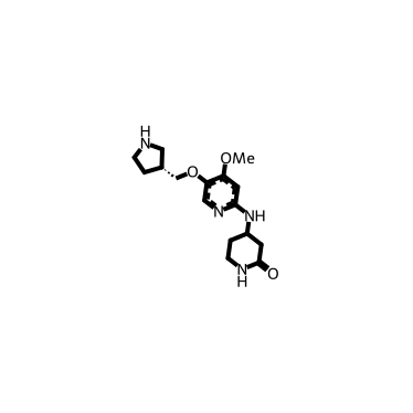 COc1cc(NC2CCNC(=O)C2)ncc1OC[C@@H]1CCNC1